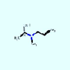 C=CCN(C)[C@@H](C)C(=O)O